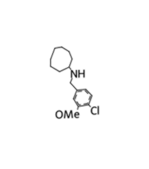 COc1cc(CNC2CCCCCCC2)ccc1Cl